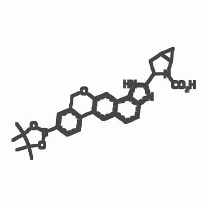 CC1(C)OB(c2ccc3c(c2)COc2cc4c(ccc5nc(C6CC7CC7N6C(=O)O)[nH]c54)cc2-3)OC1(C)C